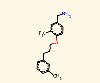 Cc1cccc(CCCOc2ccc(CN)cc2C(F)(F)F)c1